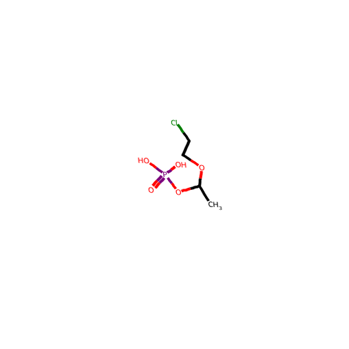 CC(OCCCl)OP(=O)(O)O